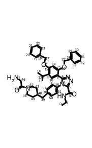 CCNC(=O)c1nnc(-c2cc(C(C)C)c(OCc3ccccc3)cc2OCc2ccccc2)n1-c1ccc(CC2CCN(C(=O)CN)CC2)cc1